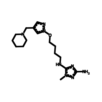 Cn1nc(N)nc1NCCCCOn1cc(CN2CCCCC2)cn1